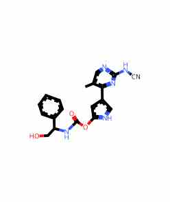 Cc1cnc(NC#N)nc1-c1c[nH]c(OC(=O)NC(CO)c2ccccc2)c1